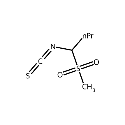 CCCC(N=C=S)S(C)(=O)=O